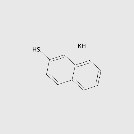 Sc1ccc2ccccc2c1.[KH]